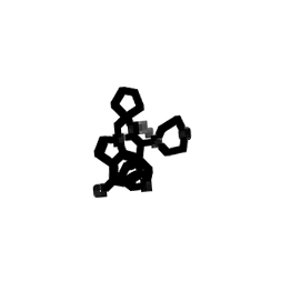 NC1(C[N+]2(CC(c3cccnc3)N3CCOCC3)C=Cc3c(Cl)cccc32)CCCC1